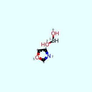 OBO.c1cocn1